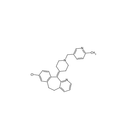 Cc1ccc(CN2CCC(=C3c4ccc(Cl)cc4CCc4cccnc43)CC2)cn1